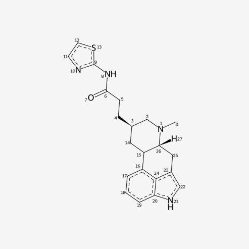 CN1C[C@H](CCC(=O)Nc2nccs2)CC2c3cccc4[nH]cc(c34)C[C@H]21